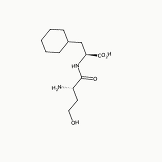 N[C@@H](CCO)C(=O)N[C@@H](CC1CCCCC1)C(=O)O